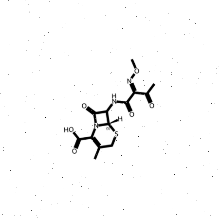 CON=C(C(C)=O)C(=O)NC1C(=O)N2C(C(=O)O)=C(C)CS[C@@H]12